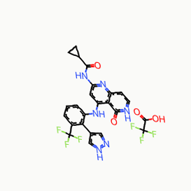 O=C(Nc1cc(Nc2cccc(C(F)(F)F)c2-c2cn[nH]c2)c2c(=O)[nH]ccc2n1)C1CC1.O=C(O)C(F)(F)F